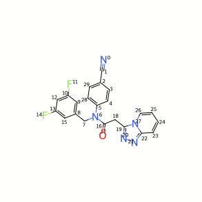 N#Cc1ccc(N(Cc2cc(F)cc(F)c2)C(=O)Cc2nnc3ccccn23)cc1